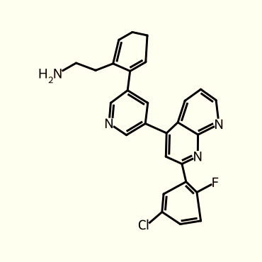 NCCC1=CCCC=C1c1cncc(-c2cc(-c3cc(Cl)ccc3F)nc3ncccc23)c1